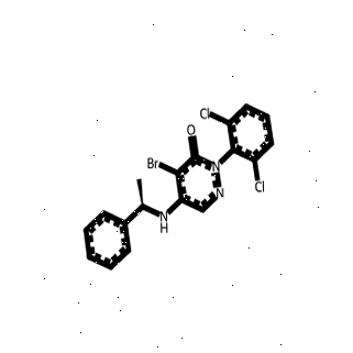 C[C@@H](Nc1cnn(-c2c(Cl)cccc2Cl)c(=O)c1Br)c1ccccc1